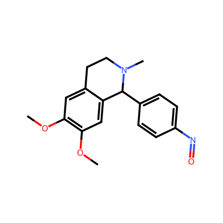 COc1cc2c(cc1OC)C(c1ccc(N=O)cc1)N(C)CC2